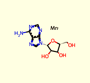 Nc1ncnc2c1ncn2[C@@H]1O[C@H](CO)[C@@H](O)[C@H]1O.[Mn]